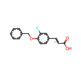 O=C(O)/C=C/c1ccc(OCc2ccccc2)c(F)c1